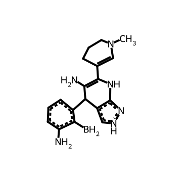 Bc1c(N)cccc1C1C(N)=C(C2=CN(C)CCC2)Nc2n[nH]cc21